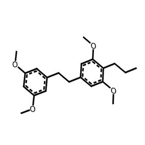 CCCc1c(OC)cc(CCc2cc(OC)cc(OC)c2)cc1OC